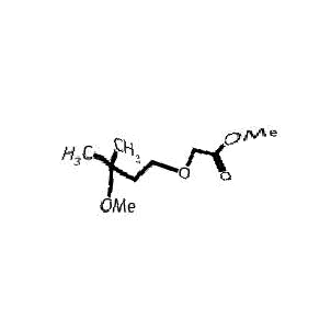 COC(=O)COCCC(C)(C)OC